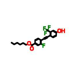 CCCCCCOC(=O)c1ccc(C#Cc2ccc(O)cc2C(F)(F)F)c(F)c1